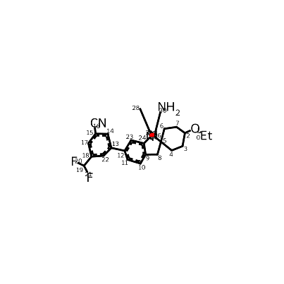 CCOC1CCC2(CC1)Cc1ccc(-c3cc(C#N)cc(C(F)F)c3)cc1C21N=C(C)C(N)=N1